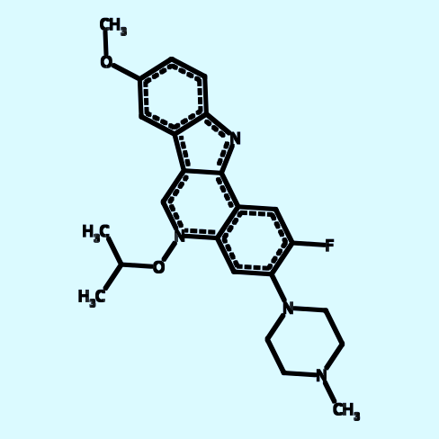 COc1ccc2nc3c4cc(F)c(N5CCN(C)CC5)cc4n(OC(C)C)cc-3c2c1